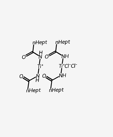 CCCCCCCC(=O)[NH][Ti+][NH]C(=O)CCCCCCC.CCCCCCCC(=O)[NH][Ti+][NH]C(=O)CCCCCCC.[Cl-].[Cl-]